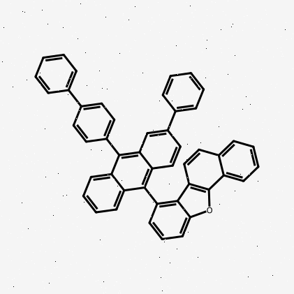 c1ccc(-c2ccc(-c3c4ccccc4c(-c4cccc5oc6c7ccccc7ccc6c45)c4ccc(-c5ccccc5)cc34)cc2)cc1